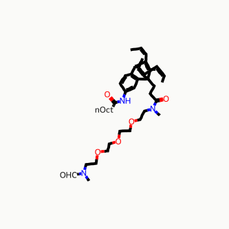 C/C=C\C1=C(C)C2(CCC(=O)N(C)CCOCCOCCOCCN(C)C=O)C(/C=C\C)=C(C)C1c1ccc(NC(=O)CCCCCCCC)cc12